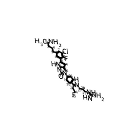 C[C@H](N)CCCc1cc(Cl)c(F)c(-c2cc3cn(-c4ccc([C@H](CCF)NCCCNC(=N)N)cc4)c(=O)nc3[nH]2)c1